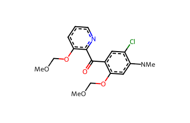 CNc1cc(OCOC)c(C(=O)c2ncccc2OCOC)cc1Cl